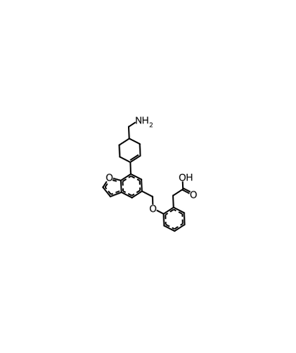 NCC1CC=C(c2cc(COc3ccccc3CC(=O)O)cc3ccoc23)CC1